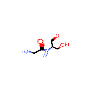 NCC(=O)NC([C]=O)CO